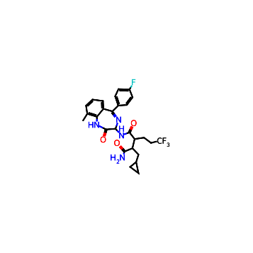 Cc1cccc2c1NC(=O)C(NC(=O)C(CCC(F)(F)F)C(CC1CC1)C(N)=O)N=C2c1ccc(F)cc1